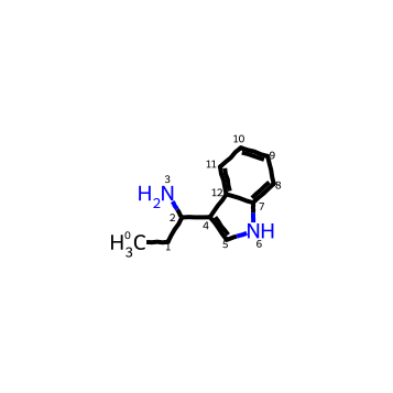 CCC(N)c1c[nH]c2ccccc12